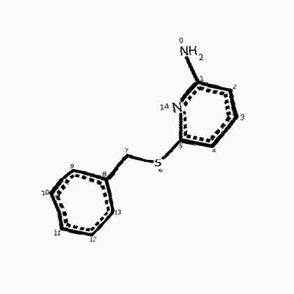 Nc1cccc(SCc2ccccc2)n1